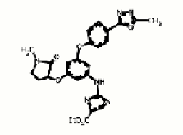 CCOC(=O)c1csc(Nc2cc(Oc3ccc(-c4nnc(C)o4)cc3)cc(OC3CCN(C)C3=O)c2)n1